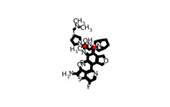 C[C@@H](O)CN1CC2CCC(C1)N2c1nc(N2CC[C@H](CN(C)C)C2)nc2c(F)c(-c3ncc(F)c4sc(N)c(C#N)c34)c3c(c12)COC3